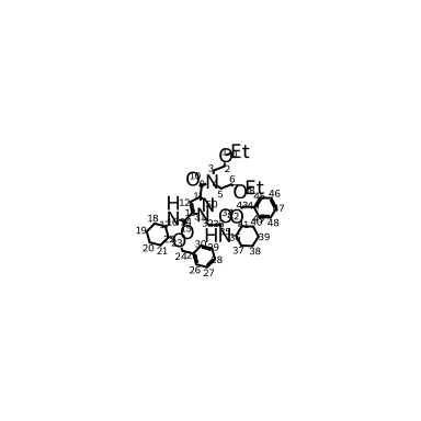 CCOCCN(CCOCC)C(=O)c1cc(C(=O)N[C@H]2CCCC[C@@H]2OCc2ccccc2)n(CC(=O)N[C@H]2CCCC[C@@H]2OCc2ccccc2)n1